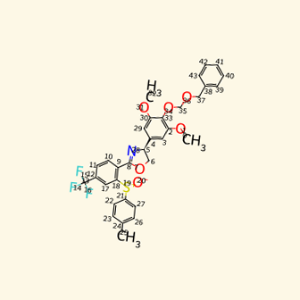 COc1cc([C@H]2COC(c3ccc(C(F)(F)F)cc3[S+]([O-])c3ccc(C)cc3)=N2)cc(OC)c1OCOCc1ccccc1